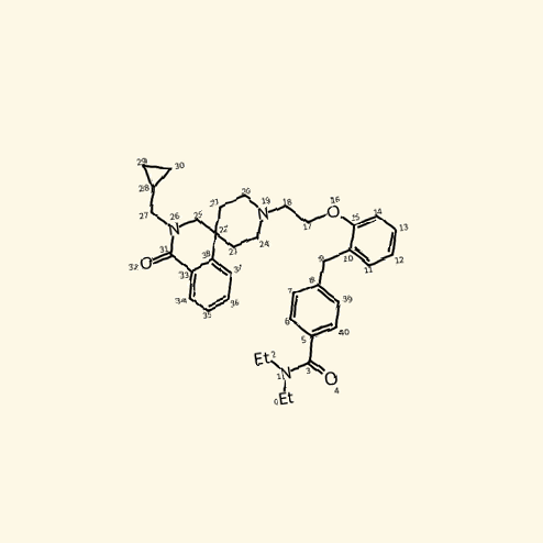 CCN(CC)C(=O)c1ccc(Cc2ccccc2OCCN2CCC3(CC2)CN(CC2CC2)C(=O)c2ccccc23)cc1